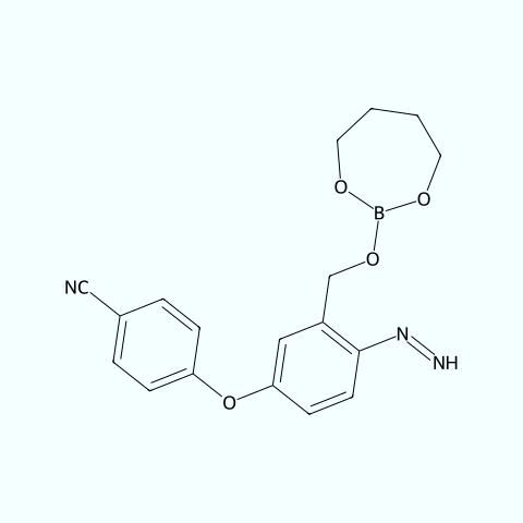 N#Cc1ccc(Oc2ccc(N=N)c(COB3OCCCCO3)c2)cc1